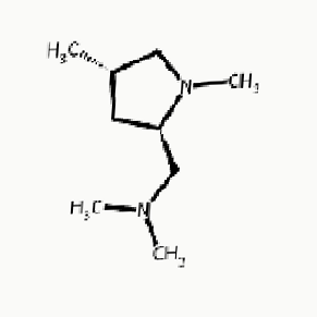 C[C@H]1C[C@H](CN(C)C)N(C)C1